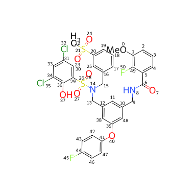 COc1cccc(C(=O)NCc2cc(CN(Cc3cccc(S(C)(=O)=O)c3)S(=O)(=O)c3cc(Cl)cc(Cl)c3O)cc(Oc3ccc(F)cc3)c2)c1F